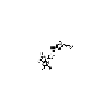 CCc1nc(C(N)=O)c(Nc2ccnc(CCNC(=O)CN(C)C(=O)/C=C/CN(C)C)c2)nc1C1CC1